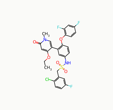 CCOc1cc(=O)n(C)cc1-c1cc(NS(=O)(=O)Cc2cc(F)ccc2Cl)ccc1Oc1ccc(F)cc1F